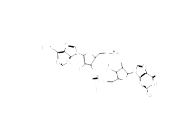 COC1C2COP(C)(=O)OC3C(COP(=O)(S)OC1C(n1cnc4c(=O)[nH]c(N)nc41)O2)OC(n1cnc2c(N)ncnc21)C3F